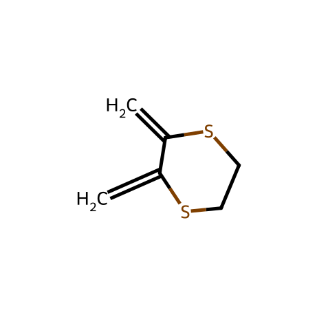 C=C1SCCSC1=C